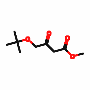 COC(=O)CC(=O)COC(C)(C)C